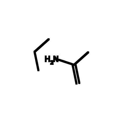 C=C(C)N.CCC